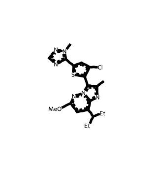 CCC(CC)c1cc(OC)nn2c(-c3sc(-c4ncnn4C)cc3Cl)c(C)nc12